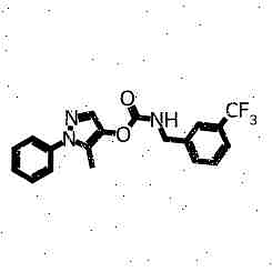 Cc1c(OC(=O)NCc2cccc(C(F)(F)F)c2)cnn1-c1ccccc1